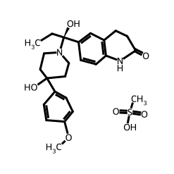 CC[C@](O)(c1ccc2c(c1)CCC(=O)N2)N1CCC(O)(c2ccc(OC)cc2)CC1.CS(=O)(=O)O